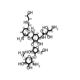 NC[C@@H]1O[C@H](O[C@H]2[C@@H](O)[C@H](O[C@@H]3[C@@H](O)[C@H](NC(=O)[C@@H](O)[C@@H](O)CN)C[C@H](N)[C@H]3O[C@H]3O[C@H](CNCCO)CC[C@H]3N)O[C@@H]2CO)[C@H](N)[C@@H](O)[C@@H]1O